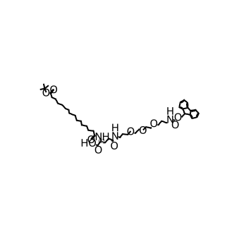 CC(C)(C)OC(=O)CCCCCCCCCCCCCCC(=O)N[C@@H](CCC(=O)NCCCOCCOCCOCCCNC(=O)OCC1c2ccccc2-c2ccccc21)C(=O)O